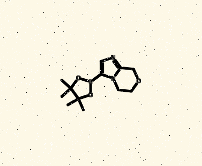 CC1(C)OB(c2cnc3n2CCOC3)OC1(C)C